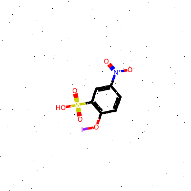 O=[N+]([O-])c1ccc(OI)c(S(=O)(=O)O)c1